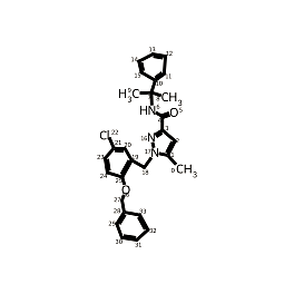 Cc1cc(C(=O)NC(C)(C)c2ccccc2)nn1Cc1cc(Cl)ccc1OCc1ccccc1